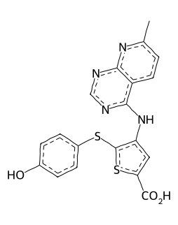 Cc1ccc2c(Nc3cc(C(=O)O)sc3Sc3ccc(O)cc3)ncnc2n1